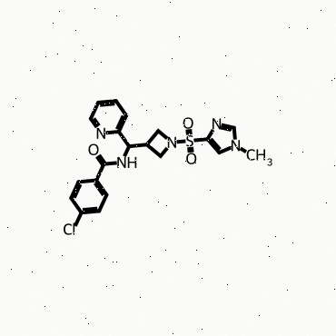 Cn1cnc(S(=O)(=O)N2CC(C(NC(=O)c3ccc(Cl)cc3)c3ccccn3)C2)c1